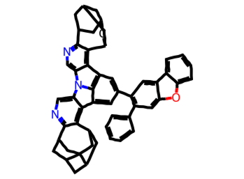 c1ccc(-c2cc3oc4ccccc4c3cc2-c2cc3c4c5c(ncc4n4c6cnc7c(c6c(c2)c34)C2CC3CC4CC7CC43C2)C2CC3CC(C2)CC5C3)cc1